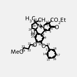 CCOC(=O)c1cn2c(cc1=O)-c1cc(OCc3ccccc3)c(OCCCOC)cc1[C@@H]1CCC(C)(C)N12